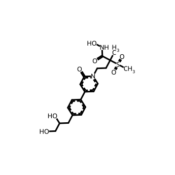 CC(CCn1ccc(-c2ccc(CC(O)CO)cc2)cc1=O)(C(=O)NO)S(C)(=O)=O